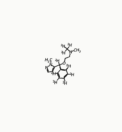 [2H]c1c([2H])c([2H])c(C([2H])(OCCN(C)C([2H])([2H])[2H])c2ccnn2C)c([2H])c1[2H]